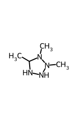 CC1NNN(C)N1C